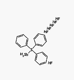 F.F.F.F.F.F.[SbH2][S](c1ccccc1)(c1ccccc1)c1ccccc1